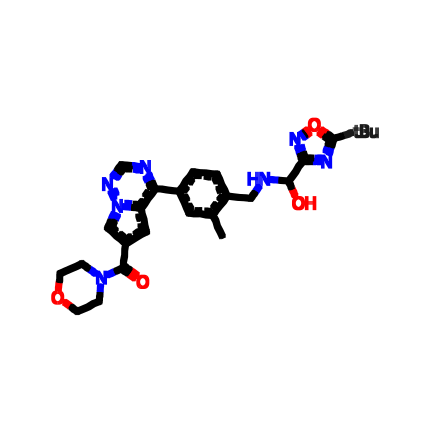 Cc1cc(-c2ncnn3cc(C(=O)N4CCOCC4)cc23)ccc1CNC(O)c1noc(C(C)(C)C)n1